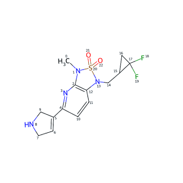 CN1c2nc(C3=CCNC3)ccc2N(CC2CC2(F)F)S1(=O)=O